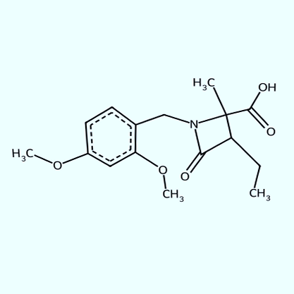 CCC1C(=O)N(Cc2ccc(OC)cc2OC)C1(C)C(=O)O